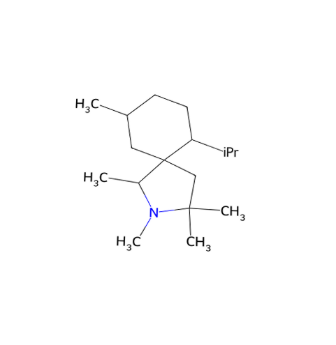 CC1CCC(C(C)C)C2(C1)CC(C)(C)N(C)C2C